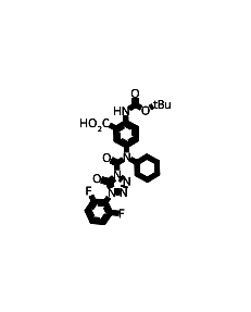 CC(C)(C)OC(=O)Nc1ccc(N(C(=O)n2nnn(-c3c(F)cccc3F)c2=O)C2CCCCC2)cc1C(=O)O